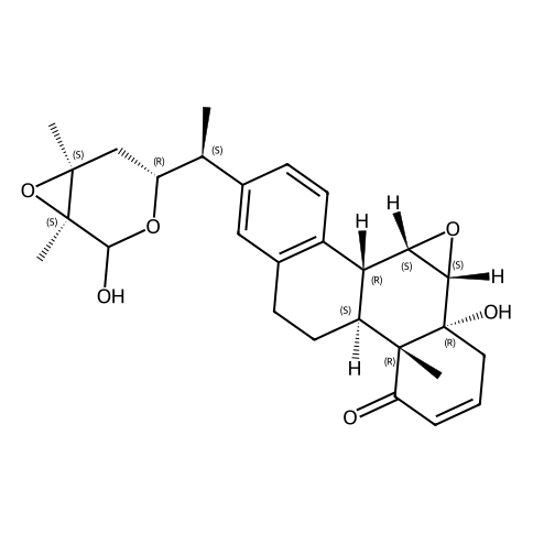 C[C@@H](c1ccc2c(c1)CC[C@H]1[C@H]2[C@@H]2O[C@@H]2[C@@]2(O)CC=CC(=O)[C@]12C)[C@H]1C[C@]2(C)O[C@]2(C)C(O)O1